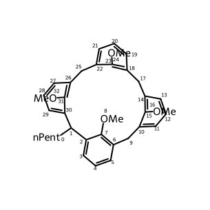 CCCCCC1c2cccc(c2OC)Cc2cccc(c2OC)Cc2cccc(c2OC)Cc2cccc1c2OC